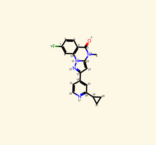 Cn1c(=O)c2ccc(F)cc2n2nc(-c3ccnc(C4CC4)c3)cc12